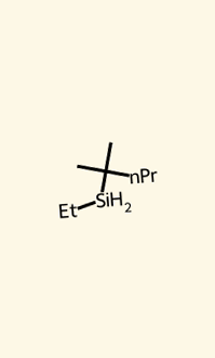 CCCC(C)(C)[SiH2]CC